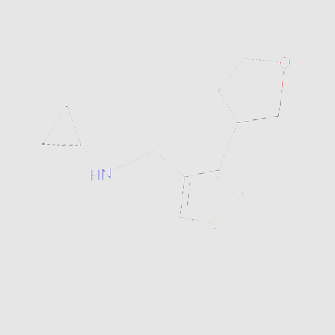 c1scc(C2CCOC2)c1CNC1CC1